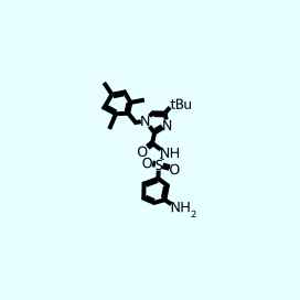 Cc1cc(C)c(Cn2cc(C(C)(C)C)nc2C(=O)NS(=O)(=O)c2cccc(N)c2)c(C)c1